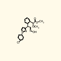 COC(=O)N(OC)c1ccccc1C(C=NO)c1ccn(-c2ccc(Cl)cc2)n1